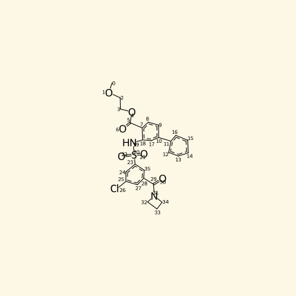 COCCOC(=O)c1ccc(-c2ccccc2)cc1NS(=O)(=O)c1cc(Cl)cc(C(=O)N2CCC2)c1